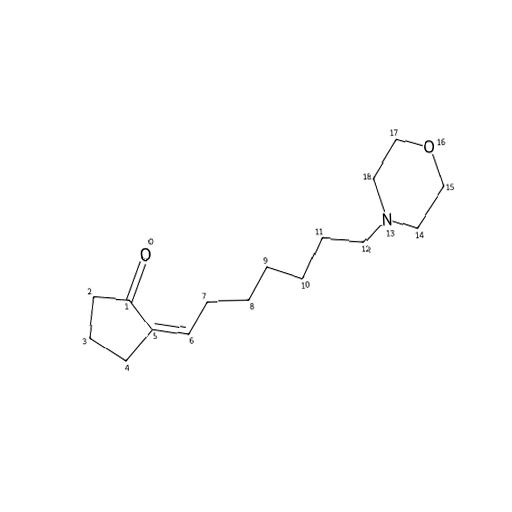 O=C1CCCC1=CCCCCCCN1CCOCC1